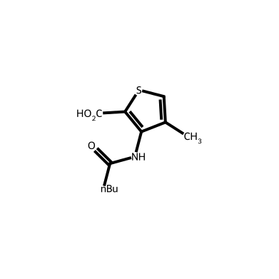 CCCCC(=O)Nc1c(C)csc1C(=O)O